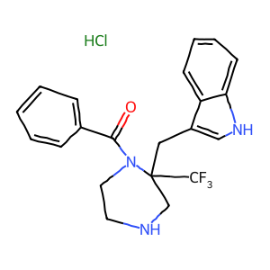 Cl.O=C(c1ccccc1)N1CCNCC1(Cc1c[nH]c2ccccc12)C(F)(F)F